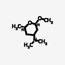 CO[C@H]1CC(N(C)C)C[C@@H](C)O1